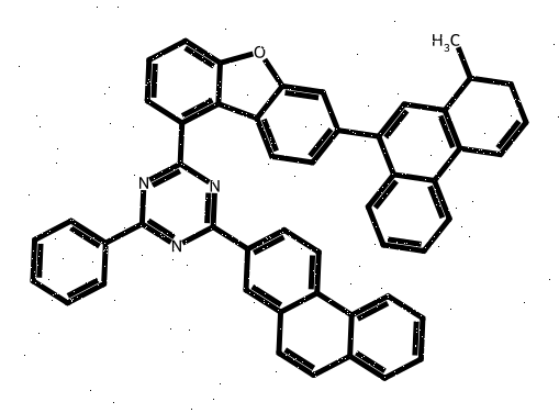 CC1CC=Cc2c1cc(-c1ccc3c(c1)oc1cccc(-c4nc(-c5ccccc5)nc(-c5ccc6c(ccc7ccccc76)c5)n4)c13)c1ccccc21